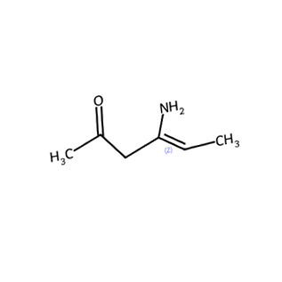 C/C=C(\N)CC(C)=O